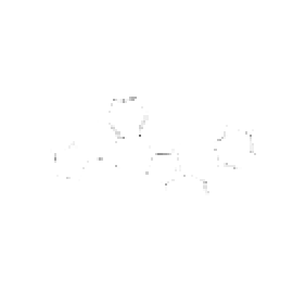 O=C(c1cccnc1)N1CCC(c2ccccc2[S+]([O-])C2CCCC2)=N1